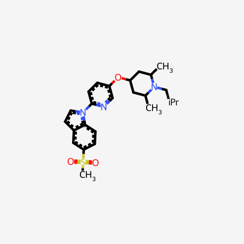 CC(C)CN1C(C)CC(Oc2ccc(-n3ccc4cc(S(C)(=O)=O)ccc43)nc2)CC1C